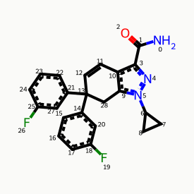 NC(=O)c1nn(C2CC2)c2c1C=CC(c1cccc(F)c1)(c1cccc(F)c1)C2